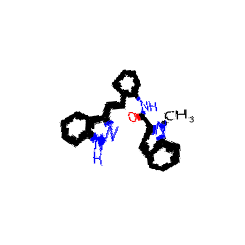 Cn1c(C(=O)Nc2ccccc2/C=C/c2n[nH]c3ccccc23)cc2ccccc21